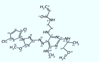 C=CC(=O)NCCNc1nc(NC(C)COC)nc(NC)c1N=Nc1cc(OC)n(-c2cc(Cl)ccc2Cl)n1